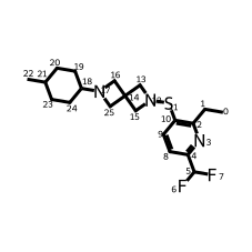 CCc1nc(C(F)F)ccc1SN1CC2(C1)CN(C1CCC(C)CC1)C2